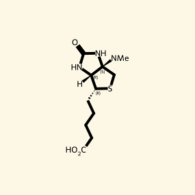 CN[C@@]12CS[C@H](CCCCC(=O)O)[C@@H]1NC(=O)N2